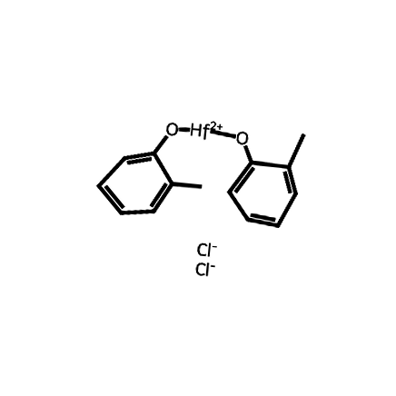 Cc1ccccc1[O][Hf+2][O]c1ccccc1C.[Cl-].[Cl-]